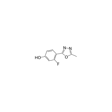 Cc1nnc(-c2ccc(O)cc2F)o1